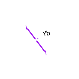 I[I-]I.[Yb]